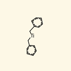 c1ccc([CH2][Ti][CH2]c2ccccc2)cc1